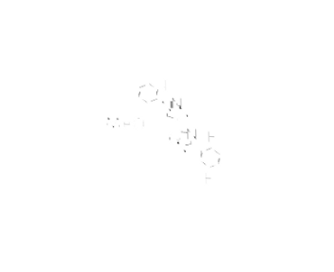 COCCc1c(-c2nc(-c3cc(F)ccc3F)no2)nnn1-c1ccccc1F